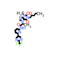 CCCC(=O)Cn1c(=O)c2c(ncn2C(C)C(=O)Nc2cccc(-c3cnc(C(F)(F)F)nc3)n2)n(C)c1=O